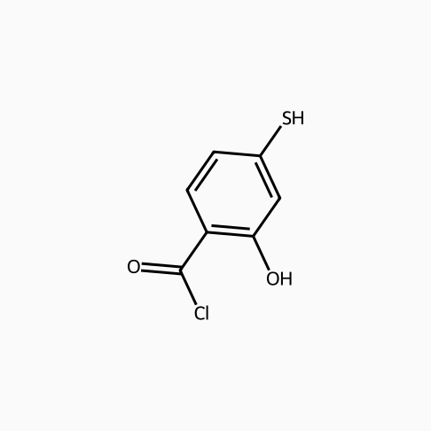 O=C(Cl)c1ccc(S)cc1O